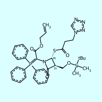 C=CCOC(=O)C(N1C(=O)[C@H](CO[Si](C)(C)C(C)(C)C)[C@H]1SC(=O)CCn1cnnn1)=P(c1ccccc1)(c1ccccc1)c1ccccc1